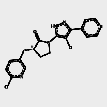 O=C1[C@@H](Cc2ccc(Cl)nc2)CCN1c1[nH]nc(-c2ccncc2)c1Cl